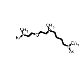 CC(=O)N(C)CCCCN(C)CCOCCN(C)C(C)=O